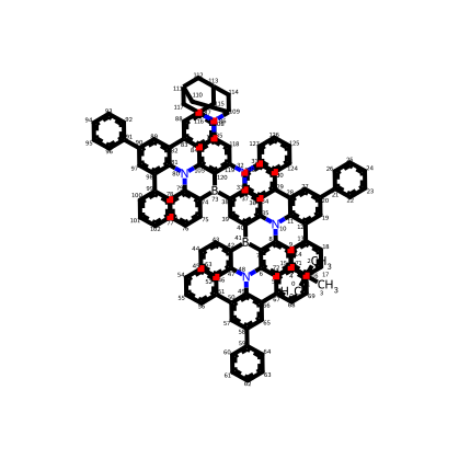 CC(C)(C)c1cc2c3c(c1)N(c1c(-c4ccccc4)cc(-c4ccccc4)cc1-c1ccccc1)c1cc4c(cc1B3c1ccccc1N2c1c(-c2ccccc2)cc(-c2ccccc2)cc1-c1ccccc1)B1c2ccccc2N(c2c(-c3ccccc3)cc(-c3ccccc3)cc2-c2ccccc2)c2cc(N3C5CC6CC(C5)CC3C6)cc(c21)N4c1ccccc1